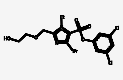 CCn1c(COCCO)nc(C(C)C)c1S(=O)(=O)Oc1cc(Cl)cc(Cl)c1